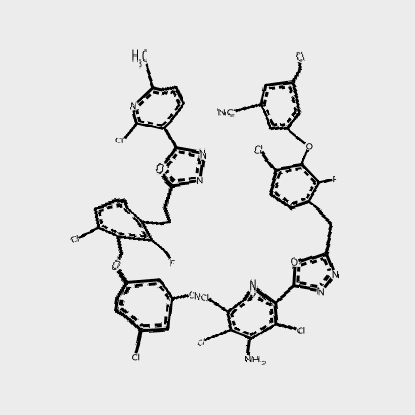 Cc1ccc(-c2nnc(Cc3ccc(Cl)c(Oc4cc(Cl)cc(C#N)c4)c3F)o2)c(Cl)n1.N#Cc1cc(Cl)cc(Oc2c(Cl)ccc(Cc3nnc(-c4nc(Cl)c(Cl)c(N)c4Cl)o3)c2F)c1